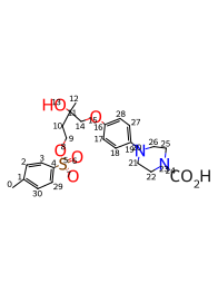 Cc1ccc(S(=O)(=O)OCCC(C)(O)COc2ccc(N3CCN(C(=O)O)CC3)cc2)cc1